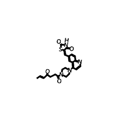 CC=CC(=O)CCC(=O)N1CCN(c2ccnc3ccc(C=C4SC(=O)NC4=O)cc23)CC1